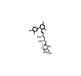 Cc1cc(C)c(C=C[C@@H](O)C[C@@H](O)CC(=O)N[C@@H](CO)C(=O)O)c(-c2ccc(F)c(C)c2)c1